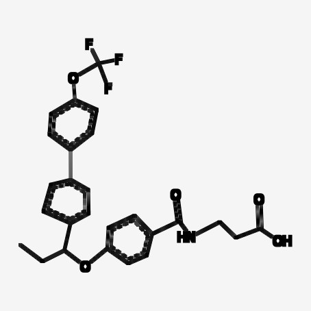 CCC(Oc1ccc(C(=O)NCCC(=O)O)cc1)c1ccc(-c2ccc(OC(F)(F)F)cc2)cc1